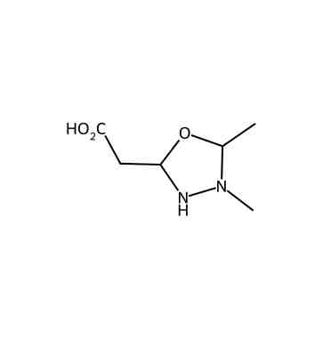 CC1OC(CC(=O)O)NN1C